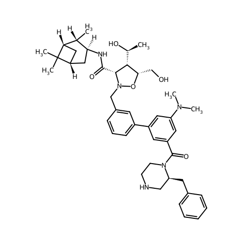 C[C@@H]1[C@@H](NC(=O)[C@@H]2[C@H]([C@H](C)O)[C@H](CO)ON2Cc2cccc(-c3cc(C(=O)N4CCNC[C@@H]4Cc4ccccc4)cc(N(C)C)c3)c2)C[C@H]2C[C@@H]1C2(C)C